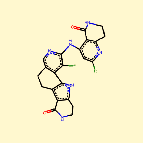 O=C1NCCc2nc(Cl)cc(Nc3ncc4c(c3F)-c3[nH]c5c(c3CC4)C(=O)NCC5)c21